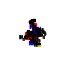 COc1cc2c(cc1OCCCOc1cc3c(cc1OC)C(=O)N1CC4(CC4)C[C@H]1C(O)N3C(=O)OCc1ccc(NC(=O)[C@H](C)NC(=O)[C@@H](NC(=O)CNC(=O)CNC(=O)CCC(=O)N3Cc4ccccc4C#Cc4ccccc43)C(C)C)cc1)NC[C@@H]1CC(c3ccsc3)=CN1C2=O